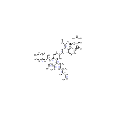 C=C/C(=C\C=C\c1ccc(=C(/C=C/C)C(=C)/C=c2/ccccc2=C)/c(=C(\C=C\C)C(/C)=C/C(C)=C(C)/C=C\C)c1)CN(c1ccccc1N)C1C=CC=CC1